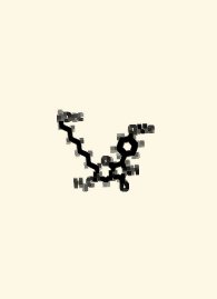 CCCCCCCCCCCCCCCCCCN(C)CN1C(=O)NC(c2ccc(OC)cc2)C1=O